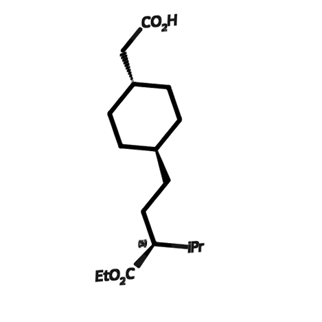 CCOC(=O)[C@@H](CC[C@H]1CC[C@H](CC(=O)O)CC1)C(C)C